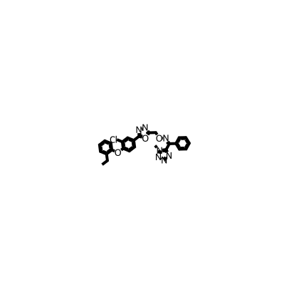 CCc1ccccc1Oc1ccc(-c2nnc(CO/N=C(/c3ccccc3)c3nnnn3C)o2)cc1Cl